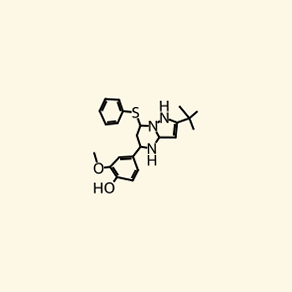 COc1cc(C2CC(Sc3ccccc3)N3NC(C(C)(C)C)=CC3N2)ccc1O